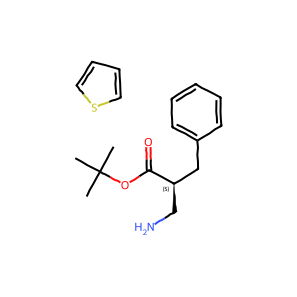 CC(C)(C)OC(=O)[C@H](CN)Cc1ccccc1.c1ccsc1